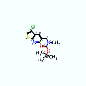 CN(Cc1cnc2scc(Cl)c2c1)C(=O)OC(C)(C)C